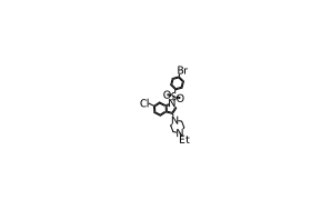 CCN1CCN(c2cn(S(=O)(=O)c3ccc(Br)cc3)c3cc(Cl)ccc23)CC1